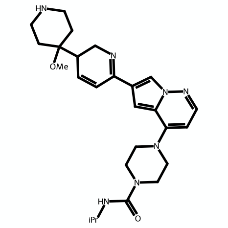 COC1(C2C=CC(c3cc4c(N5CCN(C(=O)NC(C)C)CC5)ccnn4c3)=NC2)CCNCC1